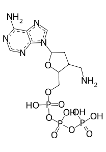 NCC1CC(n2cnc3c(N)ncnc32)OC1COP(=O)(O)OP(=O)(O)OP(=O)(O)O